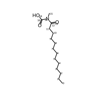 CCCCCCCCCCCCC(=O)N(C)C(=O)O